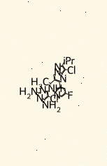 CC(C)c1nn2cc([C@H](C)Nc3nc(N)nc(N)c3Cl)c(-c3cncc(F)c3)nc2c1Cl